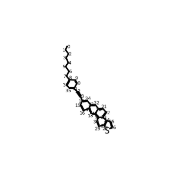 CCCCCCCCc1ccc(C#Cc2ccc3cc4c(ccc5c6ccsc6ccc45)cc3c2)cc1